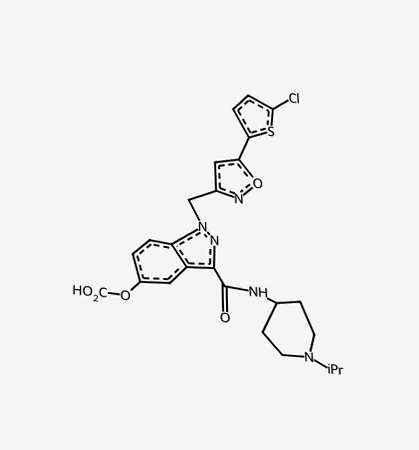 CC(C)N1CCC(NC(=O)c2nn(Cc3cc(-c4ccc(Cl)s4)on3)c3ccc(OC(=O)O)cc23)CC1